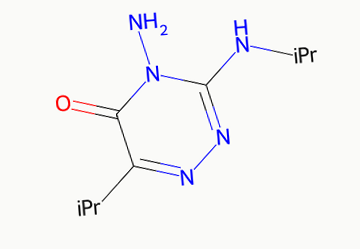 CC(C)Nc1nnc(C(C)C)c(=O)n1N